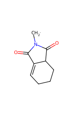 [CH2]N1C(=O)C2=CCCCC2C1=O